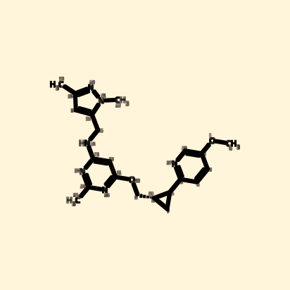 COc1ccc(C2C[C@@H]2COc2cc(NCc3cc(C)nn3C)nc(C)n2)nc1